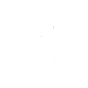 Nc1cccnc1OC(=S)N(O)N1C(=O)CCC1=O